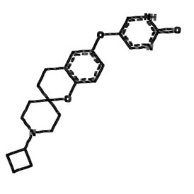 O=c1ncc(Oc2ccc3c(c2)CCC2(CCN(C4CCC4)CC2)O3)c[nH]1